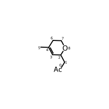 CC(=O)CC1C=C(C)CCO1